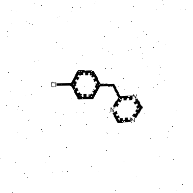 Clc1ccc(Cc2ncncn2)cc1